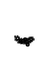 Cc1ccc(-c2cc3oc(C=C4C(=O)c5cc6ccccc6cc5C4=O)cc3n2C)cc1